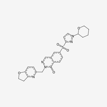 O=c1c2ccc(S(=O)(=O)c3ccn(C4CCCCO4)n3)cc2cnn1Cc1ccc2c(n1)CCO2